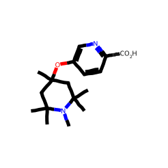 CN1C(C)(C)CC(C)(Oc2ccc(C(=O)O)nc2)CC1(C)C